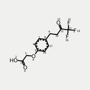 O=C(O)COc1ccc(CCC(=O)C(F)(F)F)cc1